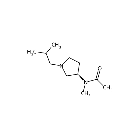 CC(=O)N(C)[C@@H]1CCN(CC(C)C)C1